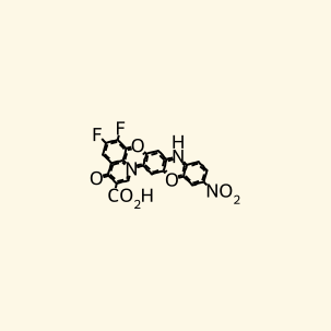 O=C(O)c1cn2c3cc4oc5cc([N+](=O)[O-])ccc5[nH]c4cc3oc3c(F)c(F)cc(c1=O)c32